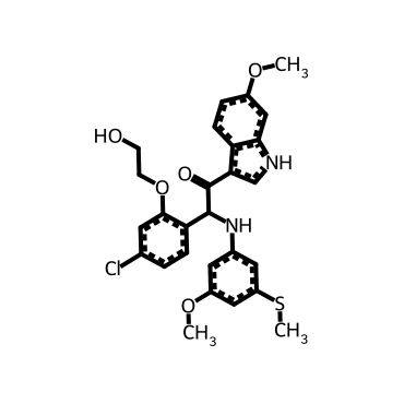 COc1cc(NC(C(=O)c2c[nH]c3cc(OC)ccc23)c2ccc(Cl)cc2OCCO)cc(SC)c1